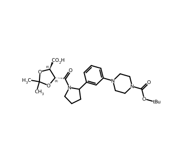 CC(C)(C)OC(=O)N1CCN(c2cccc(C3CCCN3C(=O)[C@@H]3OC(C)(C)O[C@H]3C(=O)O)c2)CC1